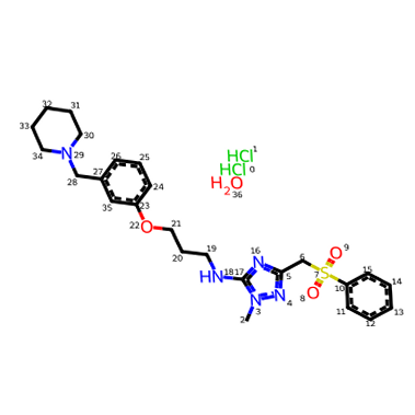 Cl.Cl.Cn1nc(CS(=O)(=O)c2ccccc2)nc1NCCCOc1cccc(CN2CCCCC2)c1.O